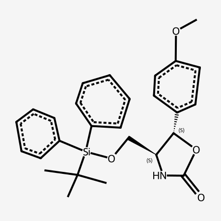 COc1ccc([C@@H]2OC(=O)N[C@H]2CO[Si](c2ccccc2)(c2ccccc2)C(C)(C)C)cc1